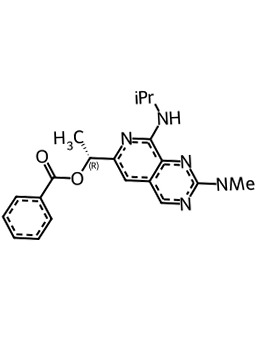 CNc1ncc2cc([C@@H](C)OC(=O)c3ccccc3)nc(NC(C)C)c2n1